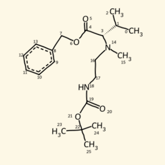 CC(C)[C@@H](C(=O)OCc1ccccc1)N(C)CCNC(=O)OC(C)(C)C